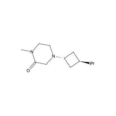 CC(C)[C@H]1C[C@H](N2CCN(C)C(=O)C2)C1